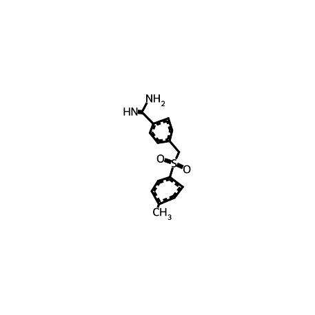 Cc1ccc(S(=O)(=O)Cc2ccc(C(=N)N)cc2)cc1